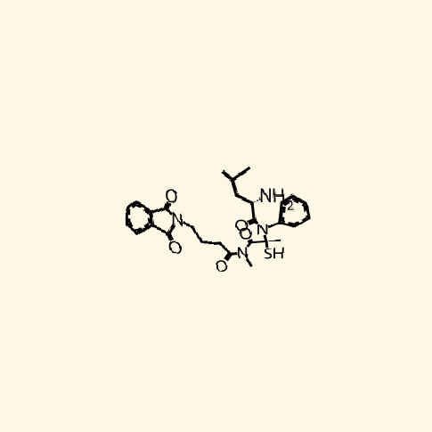 CC(C)C[C@H](N)C(=O)N(c1ccccc1)[C@](C)(S)C(=O)N(C)C(=O)CCCN1C(=O)c2ccccc2C1=O